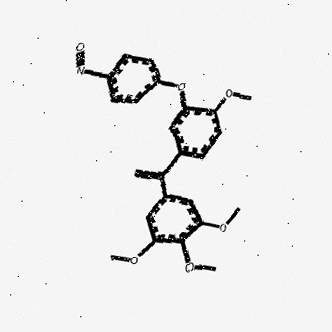 C=C(c1ccc(OC)c(Oc2ccc(N=O)cc2)c1)c1cc(OC)c(OC)c(OC)c1